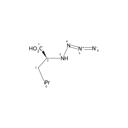 CC(C)C[C@H](NN=[N+]=[N-])C(=O)O